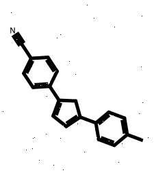 Cc1ccc(C2=CC=C(c3ccc(C#N)cc3)C2)cc1